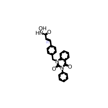 O=C(/C=C/c1ccc(Cn2c(=O)n(-c3ccccc3)c(=O)c3ccccc32)cc1)NO